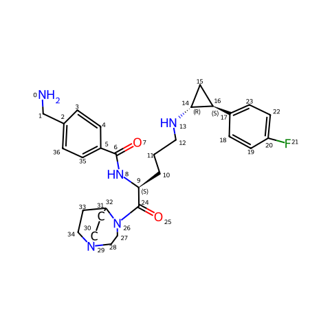 NCc1ccc(C(=O)N[C@@H](CCCN[C@@H]2C[C@H]2c2ccc(F)cc2)C(=O)N2CCN3CCC2CC3)cc1